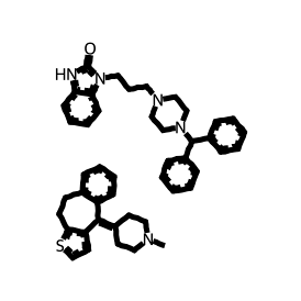 CN1CCC(=C2c3ccccc3CCc3sccc32)CC1.O=c1[nH]c2ccccc2n1CCCN1CCN(C(c2ccccc2)c2ccccc2)CC1